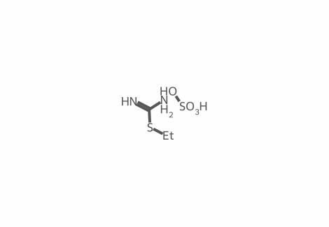 CCSC(=N)N.O=S(=O)(O)O